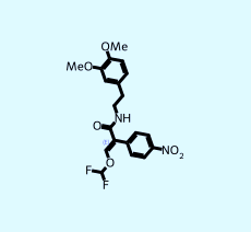 COc1ccc(CCNC(=O)/C(=C/OC(F)F)c2ccc([N+](=O)[O-])cc2)cc1OC